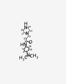 CN(C)c1ccc(NC(=O)CCN2CCNCC2)cc1